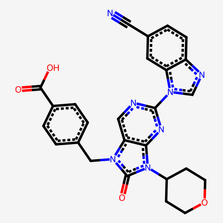 N#Cc1ccc2ncn(-c3ncc4c(n3)n(C3CCOCC3)c(=O)n4Cc3ccc(C(=O)O)cc3)c2c1